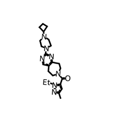 CCn1nc(C)cc1C(=O)N1CCc2cnc(N3CCN(C4CCC4)CC3)nc2CC1